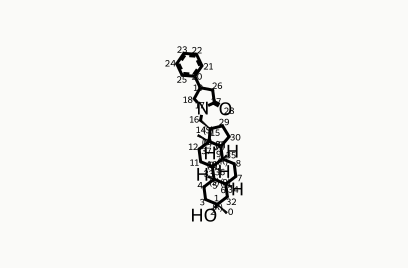 C[C@@]1(O)CC[C@H]2[C@H](CC[C@@H]3[C@@H]2CC[C@]2(C)[C@@H](CN4CC(c5ccccc5)CC4=O)CC[C@@H]32)C1